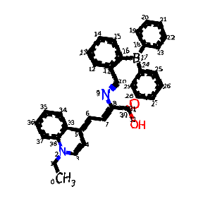 CCN1C=CC(=CC=C(N=Cc2ccccc2B(c2ccccc2)c2ccccc2)C(=O)O)c2ccccc21